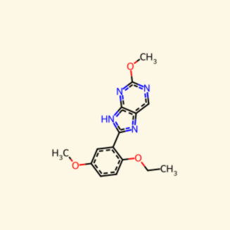 CCOc1ccc(OC)cc1-c1nc2cnc(OC)nc2[nH]1